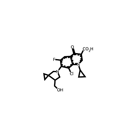 O=C(O)c1cn(C2CC2)c2c(Cl)c(N3CC(CO)C4(CC4)C3)c(F)cc2c1=O